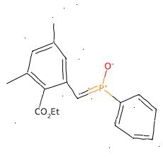 CCOC(=O)c1c(C)cc(C)cc1C=[P+]([O-])c1ccccc1